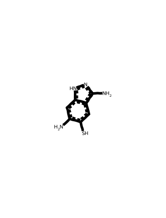 Nc1cc2[nH]nc(N)c2cc1S